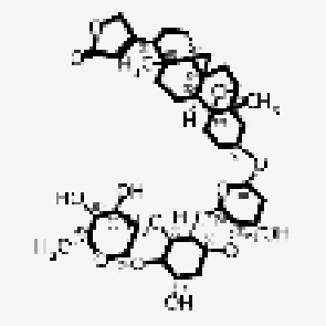 C[C@H]1C[C@@H](O[C@H]2[C@@H](O)C[C@H](O[C@H]3CC[C@]4(C)[C@H]5CC[C@]6(C)[C@@H](C7=CC(=O)OC7)CC[C@@]67C[C@@]57CC[C@]4(C)C3)O[C@@H]2C)C[C@H](O)C1O[C@H]1C[C@H](O)[C@H](O)[C@@H](C)O1